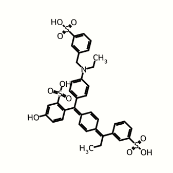 CCC(c1cccc(S(=O)(=O)O)c1)=c1ccc(=C(c2ccc(N(CC)Cc3cccc(S(=O)(=O)O)c3)cc2)c2ccc(O)cc2S(=O)(=O)O)cc1